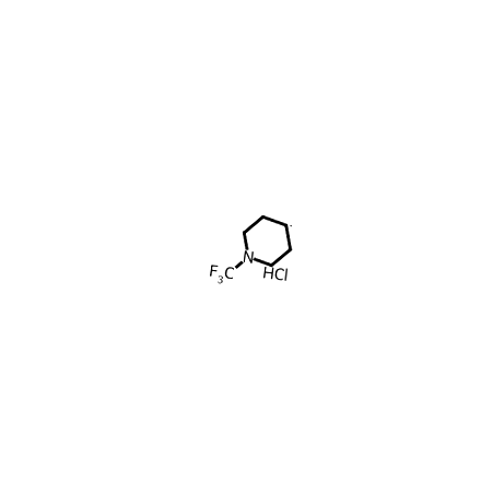 Cl.FC(F)(F)N1CC[CH]CC1